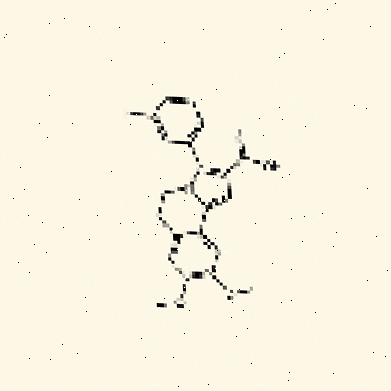 COc1cc2c(nc1OC)-c1cc(C(=O)O)c(-c3cccc(F)c3)n1CC2